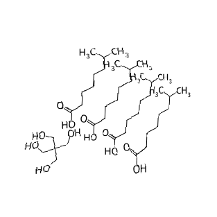 CC(C)CCCCCC(=O)O.CC(C)CCCCCC(=O)O.CC(C)CCCCCC(=O)O.CC(C)CCCCCC(=O)O.OCC(CO)(CO)CO